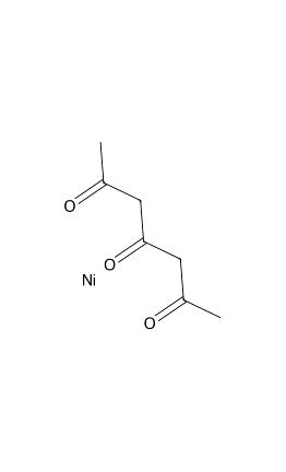 CC(=O)CC(=O)CC(C)=O.[Ni]